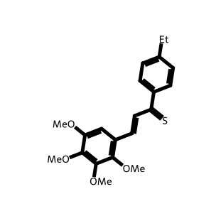 CCc1ccc(C(=S)C=Cc2cc(OC)c(OC)c(OC)c2OC)cc1